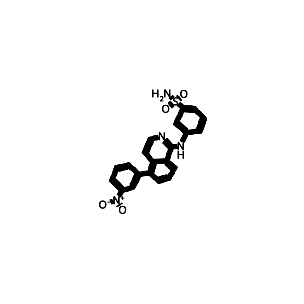 NS(=O)(=O)c1cccc(Nc2nccc3c(-c4cccc([N+](=O)[O-])c4)cccc23)c1